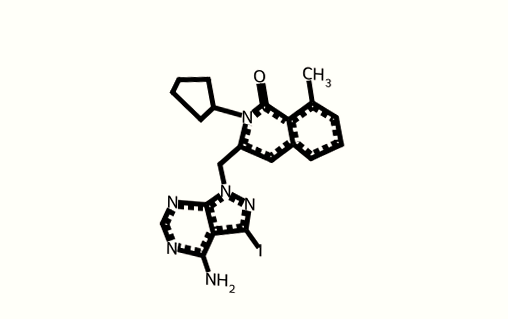 Cc1cccc2cc(Cn3nc(I)c4c(N)ncnc43)n(C3CCCC3)c(=O)c12